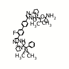 CCN(CC)[C@@H](C(=O)N1CCC[C@H]1c1ncc(-c2ccc(-c3ccc(-c4cnc([C@@H]5CCCN5C(=O)[C@@H](OC(N)=O)C(C)C)[nH]4)cc3)cc2F)[nH]1)c1ccccc1